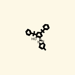 Cc1ccc2nn(-c3cc(C(C)(C)c4ccccc4)cc(C(C)(C)c4ccccc4)c3O)nc2c1